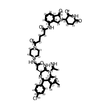 CC(=N)N1C(=N)[C@H](CC(=O)NN2CCN(C(=O)CCCC(=O)Nc3cccc4c3CN(C3CCC(=O)NC3=O)C4=O)CC2)N=C(c2ccc(Cl)cc2)c2c1sc(C)c2C